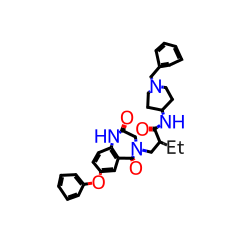 CCC(CN1CC(=O)Nc2ccc(Oc3ccccc3)cc2C1=O)C(=O)NC1CCN(Cc2ccccc2)CC1